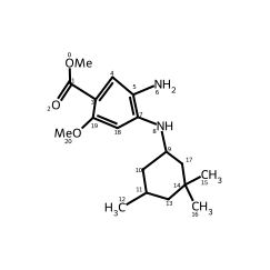 COC(=O)c1cc(N)c(NC2CC(C)CC(C)(C)C2)cc1OC